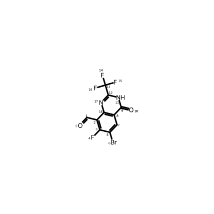 O=Cc1c(F)c(Br)cc2c(=O)[nH]c(C(F)(F)F)nc12